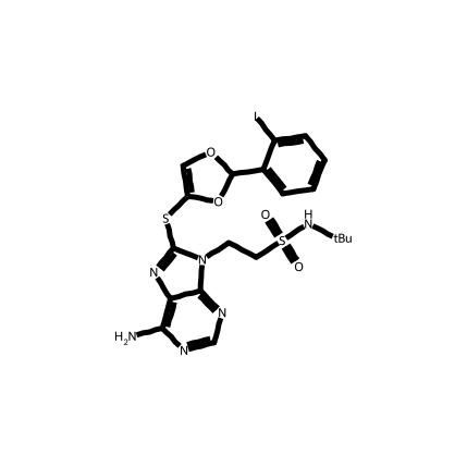 CC(C)(C)NS(=O)(=O)CCn1c(SC2=COC(c3ccccc3I)O2)nc2c(N)ncnc21